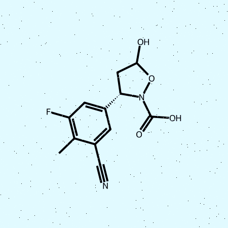 Cc1c(F)cc([C@@H]2CC(O)ON2C(=O)O)cc1C#N